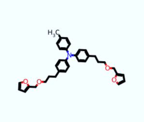 Cc1ccc(N(c2ccc(CCCOCc3ccco3)cc2)c2ccc(CCCOCc3ccco3)cc2)cc1